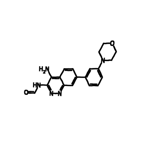 Nc1c(NC=O)nnc2cc(-c3cccc(N4CCOCC4)c3)ccc12